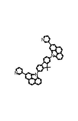 CC1(C)c2cc(-n3c4cccc5ccc6cc(-c7cccnc7)cc3c6c54)ccc2-c2ccc(-n3c4cccc5ccc6cc(-c7cccnc7)cc3c6c54)cc21